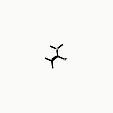 CB(C)C(=C(C)C)C(C)C